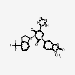 Cn1c(=O)sc2cc(-n3cc(-c4nnn[nH]4)c(=O)n([C@@H]4CCc5c4cccc5C(F)(F)F)c3=O)ccc21